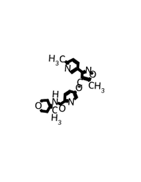 Cc1ccc(-c2noc(C)c2COc2ccc(C(=O)NC3(C)CCOCC3)nc2)cn1